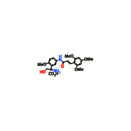 COc1cc(OC)c(C=CC(=O)Nc2ccc(OC)c([C@@](N)(CO)C(=O)O)c2)c(OC)c1